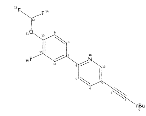 CCCCC#Cc1ccc(-c2ccc(OC(F)F)c(F)c2)nc1